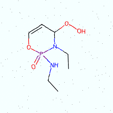 CCNP1(=O)OC=CC(OO)N1CC